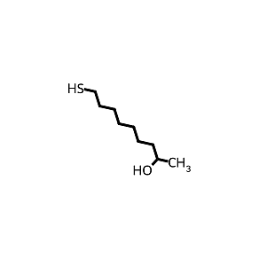 CC(O)CCCCCCCS